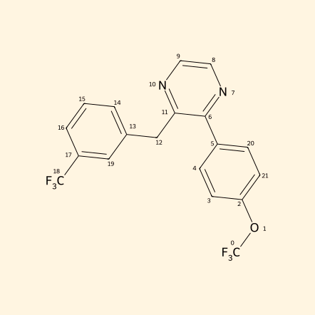 FC(F)(F)Oc1ccc(-c2nccnc2Cc2cccc(C(F)(F)F)c2)cc1